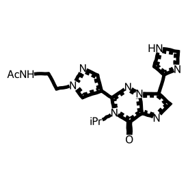 CC(=O)NCCn1cc(-c2nn3c(-c4c[nH]cn4)cnc3c(=O)n2C(C)C)cn1